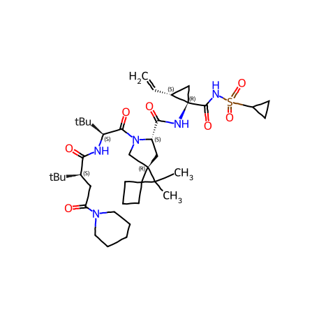 C=C[C@@H]1C[C@]1(NC(=O)[C@@H]1C[C@@]2(CN1C(=O)[C@@H](NC(=O)[C@@H](CC(=O)N1CCCCC1)C(C)(C)C)C(C)(C)C)C(C)(C)C21CCC1)C(=O)NS(=O)(=O)C1CC1